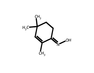 CC1=[C]C(C)(C)CCC1=NO